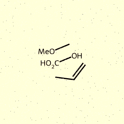 C=CC.COC.O=C(O)O